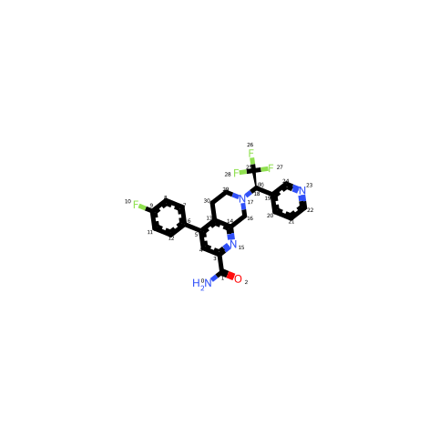 NC(=O)c1cc(-c2ccc(F)cc2)c2c(n1)CN([C@H](c1cccnc1)C(F)(F)F)CC2